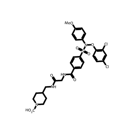 COc1ccc(N(Oc2ccc(Cl)cc2Cl)S(=O)(=O)c2ccc(C(=O)NCC(=O)NCC3CCN(C(=O)O)CC3)cc2)cc1